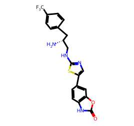 N[C@@H](CNc1ncc(-c2ccc3[nH]c(=O)oc3c2)s1)Cc1ccc(C(F)(F)F)cc1